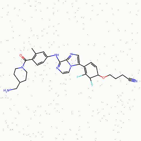 Cc1cc(Nc2nccn3c(C4=C(F)C(F)C(OCCCC#N)C=C4)cnc23)ccc1C(=O)N1CCC(CN)CC1